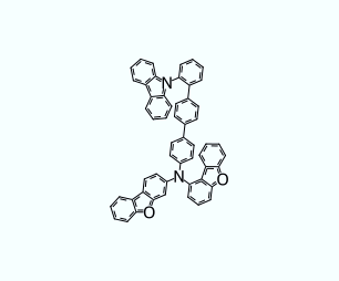 c1ccc(-n2c3ccccc3c3ccccc32)c(-c2ccc(-c3ccc(N(c4ccc5c(c4)oc4ccccc45)c4cccc5oc6ccccc6c45)cc3)cc2)c1